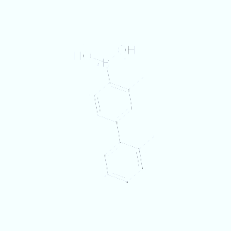 Cc1cc(-c2ccccc2C)ccc1B(O)O